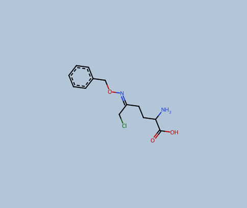 NC(CCC(CCl)=NOCc1ccccc1)C(=O)O